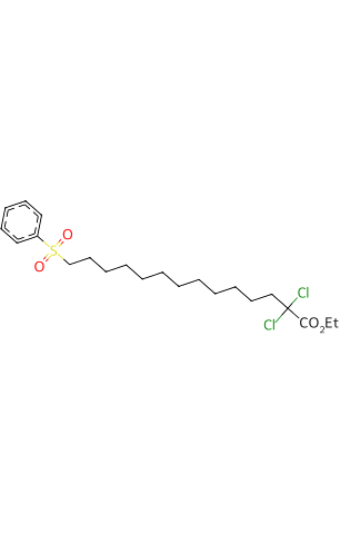 CCOC(=O)C(Cl)(Cl)CCCCCCCCCCCCS(=O)(=O)c1ccccc1